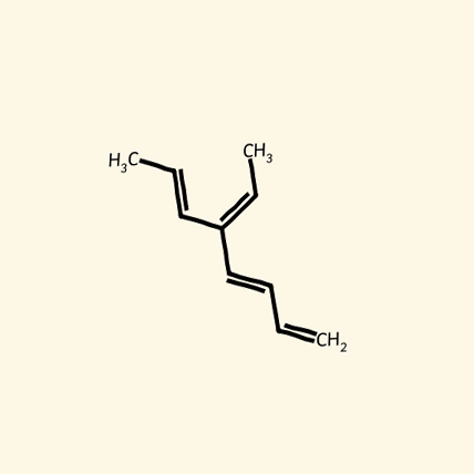 C=CC=CC(C=CC)=CC